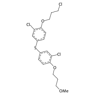 COCCCOc1ccc(Sc2ccc(OCCCCl)c(Cl)c2)cc1Cl